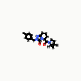 Cc1ccc(Cn2nc3n(c2=O)C(C(=O)N2CC[C@H]4C[C@H]42)CCC3)cc1